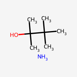 CC(C)(C)C(C)(C)O.N